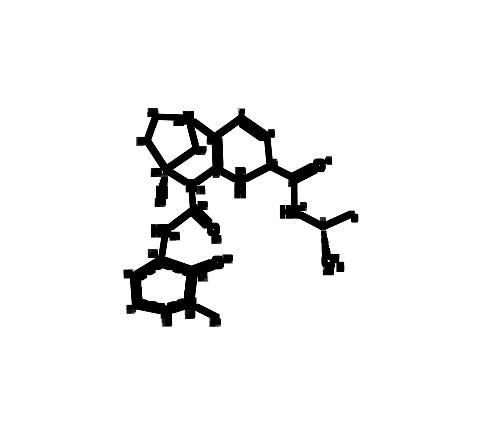 C[C@@H](NC(=O)C1C=CC2=C(N1)N(C(=O)Nc1ccnn(C)c1=O)[C@H]1CCN2C1)C(F)(F)F